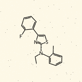 CCN(c1nc(-c2ccccc2F)cs1)c1ccccc1C